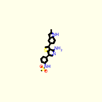 Cc1cc2cc(-c3csc4c(-c5cccc(NS(C)(=O)=O)c5)cnc(N)c34)ccc2[nH]1